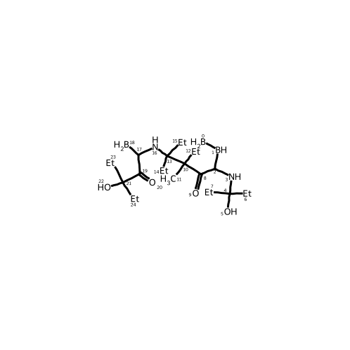 BBC(NC(O)(CC)CC)C(=O)C(C)(CC)C(CC)(CC)NC(B)C(=O)C(O)(CC)CC